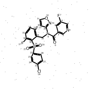 O=C(c1cncc(F)c1)N(Cc1c(F)ccc(F)c1S(=O)(=O)c1ccc(Cl)cc1)c1ccon1